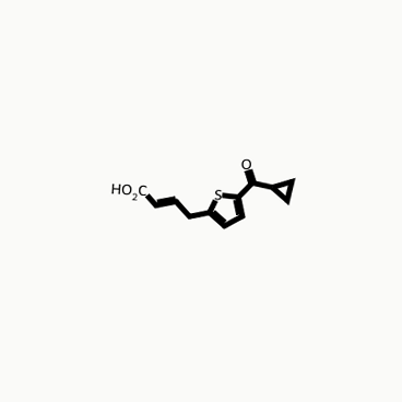 O=C(O)/C=C/Cc1ccc(C(=O)C2CC2)s1